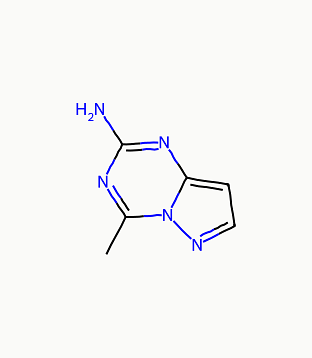 Cc1nc(N)nc2ccnn12